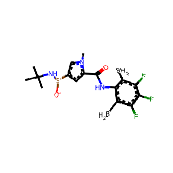 Bc1c(F)c(F)c(F)c(B)c1NC(=O)c1cc([S+]([O-])NC(C)(C)C)cn1C